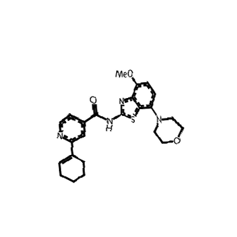 COc1ccc(N2CCOCC2)c2sc(NC(=O)c3ccnc(C4=CCCCC4)c3)nc12